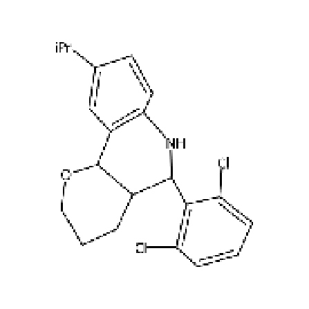 CC(C)c1ccc2c(c1)C1OCCCC1C(c1c(Cl)cccc1Cl)N2